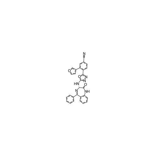 N#Cc1ccc(-c2nnc(N[C@H]3N=C(c4ccccc4)c4ccccc4NC3=O)o2)c(-c2ccoc2)c1